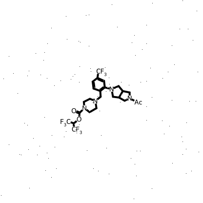 CC(=O)N1CC2CN(c3cc(C(F)(F)F)ccc3CN3CCN(C(=O)OC(C(F)(F)F)C(F)(F)F)CC3)CC2C1